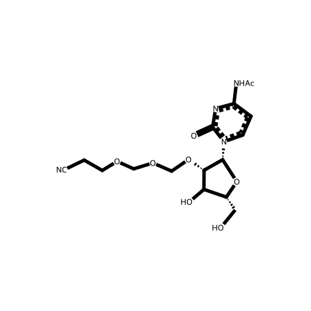 CC(=O)Nc1ccn([C@@H]2O[C@H](CO)C(O)[C@@H]2OCOCOCCC#N)c(=O)n1